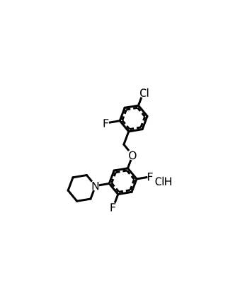 Cl.Fc1cc(Cl)ccc1COc1cc(N2CCCCC2)c(F)cc1F